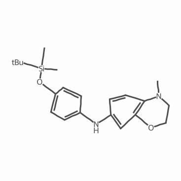 CN1CCOc2cc(Nc3ccc(O[Si](C)(C)C(C)(C)C)cc3)ccc21